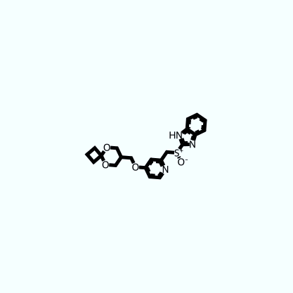 [O-][S+](Cc1cc(OCC2COC3(CCC3)OC2)ccn1)c1nc2ccccc2[nH]1